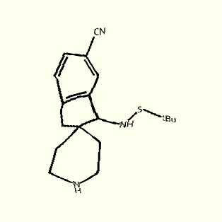 CC(C)(C)SNC1c2cc(C#N)ccc2CC12CCNCC2